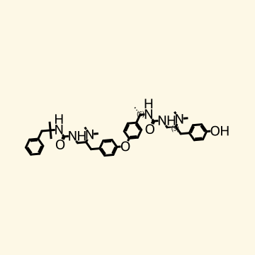 C[C@H](NC(=O)NC[C@H](Cc1ccc(O)cc1)N(C)C)c1ccc(Oc2ccc(CC(CNC(=O)NC(C)(C)Cc3ccccc3)N(C)C)cc2)cc1